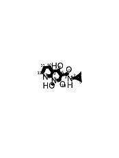 O=C(NC1CC1)c1c(O)c2cccnc2n(O)c1=O